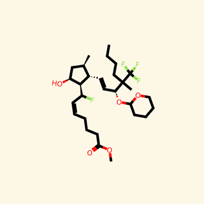 CCCCC(C)([C@@H](/C=C/[C@@H]1[C@@H](C(F)/C=C\CCCC(=O)OC)[C@@H](O)C[C@H]1C)OC1CCCCO1)C(F)(F)F